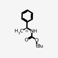 C[C@H](NC(=O)OC(C)(C)C)c1ccccc1